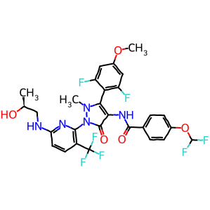 COc1cc(F)c(-c2c(NC(=O)c3ccc(OC(F)F)cc3)c(=O)n(-c3nc(NC[C@H](C)O)ccc3C(F)(F)F)n2C)c(F)c1